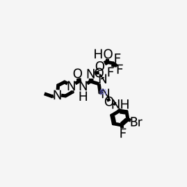 CCN1CCN(C(=O)Nc2nonc2/C=N/ONc2ccc(F)c(Br)c2)CC1.O=C(O)C(F)(F)F